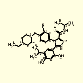 CCN1CCN(Cc2ccc(-n3c(C(=O)NC(C)C)nnc3-c3cc(C(C)C)c(O)cc3O)cc2F)CC1